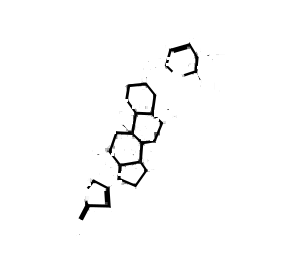 C[C@H]1O[C@H](O[C@H]2CC[C@@]3(C)[C@H](CC[C@@H]4[C@@H]3C[C@@H](O)[C@]3(C)[C@@H](C5=CC(=O)OC5)CC[C@]43O)C2)C=C[C@@H]1O